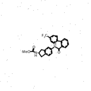 COC(=O)N[C@H]1Cc2ccc(NC(=O)c3ccccc3-c3ccc(C(F)(F)F)cc3)cc2C1